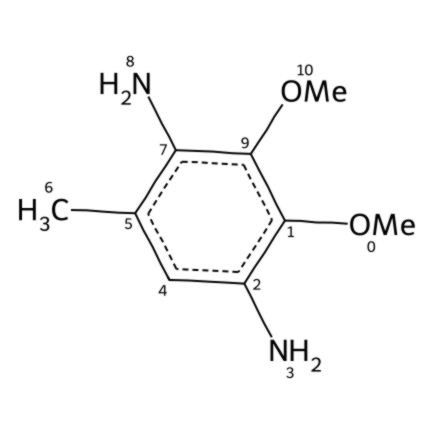 COc1c(N)cc(C)c(N)c1OC